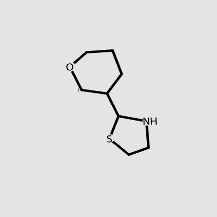 [C]1OCCCC1C1NCCS1